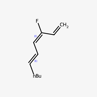 C=C/C(F)=C\C=C\CCCC